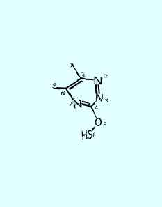 Cc1nnc(OS)nc1C